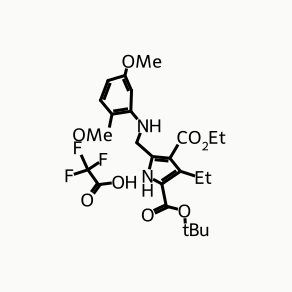 CCOC(=O)c1c(CNc2cc(OC)ccc2OC)[nH]c(C(=O)OC(C)(C)C)c1CC.O=C(O)C(F)(F)F